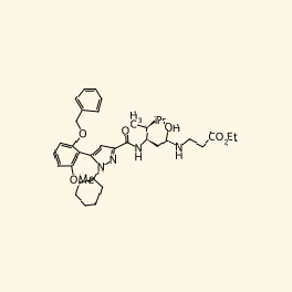 CCOC(=O)CCNC(O)C[C@@H](NC(=O)c1cc(-c2c(OC)cccc2OCc2ccccc2)n(C2CCCCC2)n1)[C@@H](C)C(C)C